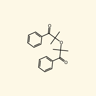 CC(C)(OC(C)(C)C(=O)c1ccccc1)C(=O)c1ccccc1